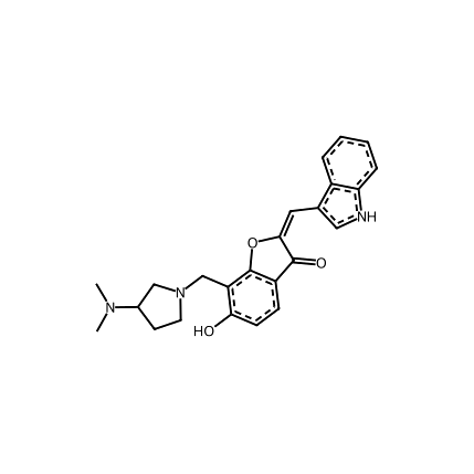 CN(C)C1CCN(Cc2c(O)ccc3c2OC(=Cc2c[nH]c4ccccc24)C3=O)C1